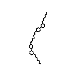 CCCCCCCC1CCCC(C2CCC(C=CCOCC=CC3CCC(C4CCCC(CCCCCCC)C4)CC3)CC2)C1